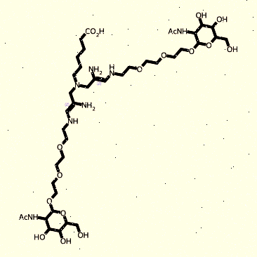 CC(=O)NC1C(OCCOCCOCCN/C=C(\N)CN(CCCCCC(=O)O)C/C(N)=C/NCCOCCOCCOC2OC(CO)C(O)C(O)C2NC(C)=O)OC(CO)C(O)C1O